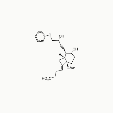 CO[C@]12CC[C@@H](O)[C@H](C#C[C@@H](O)COc3ccccc3)[C@H]1C/C2=C\CCC(=O)O